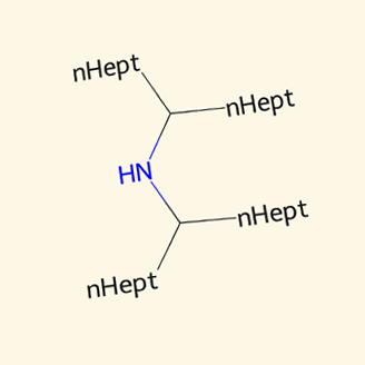 CCCCCCCC(CCCCCCC)NC(CCCCCCC)CCCCCCC